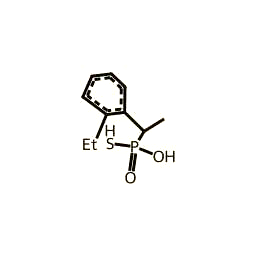 CCc1ccccc1C(C)P(=O)(O)S